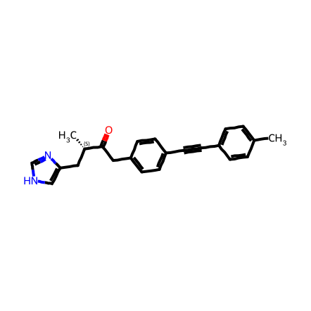 Cc1ccc(C#Cc2ccc(CC(=O)[C@@H](C)Cc3c[nH]cn3)cc2)cc1